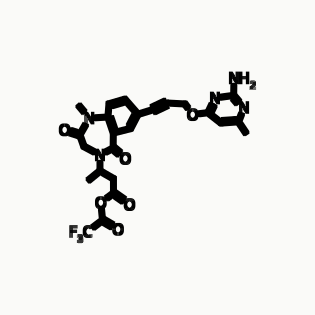 Cc1cc(OCC#Cc2ccc3c(c2)C(=O)N(C(C)CC(=O)OC(=O)C(F)(F)F)CC(=O)N3C)nc(N)n1